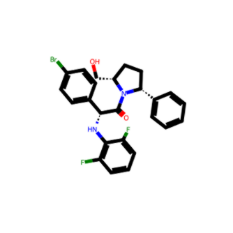 O=C([C@H](Nc1c(F)cccc1F)c1ccc(Br)cc1)N1[C@H](CO)CC[C@@H]1c1ccccc1